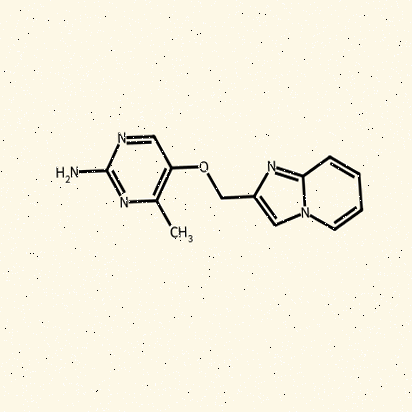 Cc1nc(N)ncc1OCc1cn2ccccc2n1